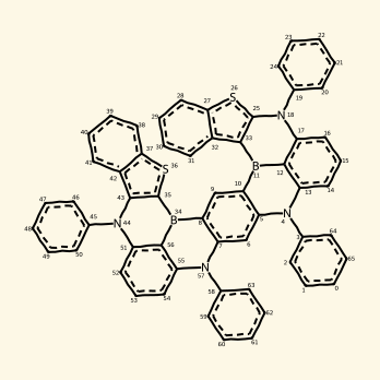 c1ccc(N2c3cc4c(cc3B3c5c2cccc5N(c2ccccc2)c2sc5ccccc5c23)B2c3sc5ccccc5c3N(c3ccccc3)c3cccc(c32)N4c2ccccc2)cc1